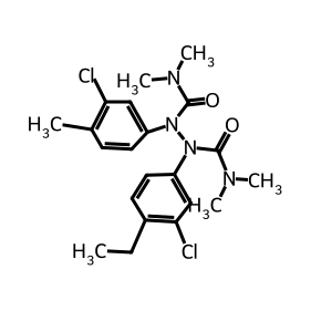 CCc1ccc(N(C(=O)N(C)C)N(C(=O)N(C)C)c2ccc(C)c(Cl)c2)cc1Cl